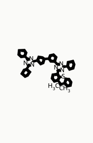 CC1(C)c2ccccc2Sc2c(-c3nc(-c4ccccc4)nc(-c4cccc(-c5ccc(-c6nc(-c7ccccc7)nc(-c7ccccc7)n6)cc5)c4)n3)cccc21